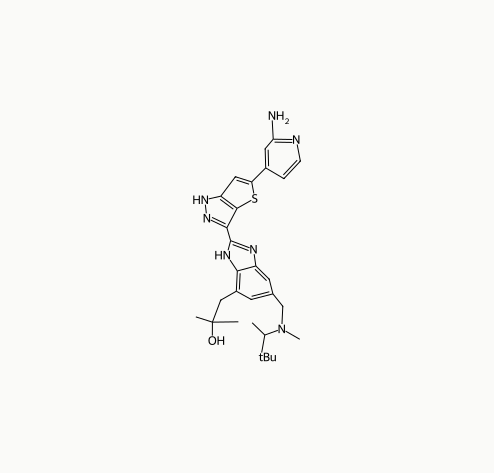 CC(N(C)Cc1cc(CC(C)(C)O)c2[nH]c(-c3n[nH]c4cc(-c5ccnc(N)c5)sc34)nc2c1)C(C)(C)C